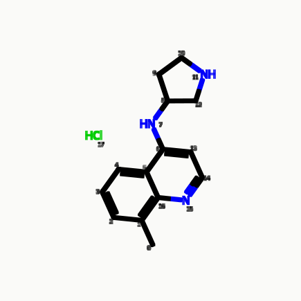 Cc1cccc2c(NC3CCNC3)ccnc12.Cl